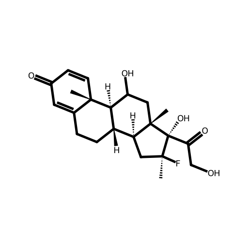 C[C@]12C=CC(=O)C=C1CC[C@@H]1[C@@H]2C(O)C[C@@]2(C)[C@H]1C[C@](C)(F)[C@]2(O)C(=O)CO